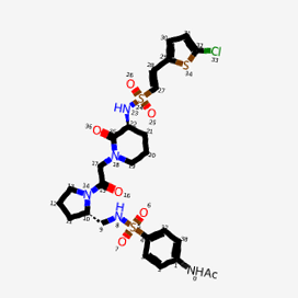 CC(=O)Nc1ccc(S(=O)(=O)NC[C@@H]2CCCN2C(=O)CN2CCC[C@H](NS(=O)(=O)/C=C/c3ccc(Cl)s3)C2=O)cc1